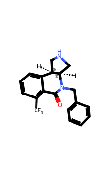 O=C1c2c(cccc2C(F)(F)F)[C@H]2CNC[C@H]2N1Cc1ccccc1